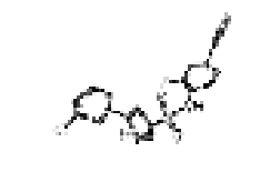 N#Cc1ccc(NS(=O)(=O)c2c[nH]c(-c3cccc(Cl)c3)c2)c(F)c1